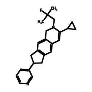 CC(C)(F)CN1Cc2cc3c(cc2C=C1C1CC1)CC(c1cccnc1)C3